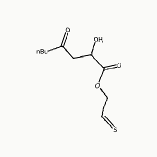 CCCCC(=O)CC(O)C(=O)OCC=S